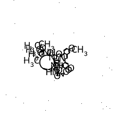 COc1ccc2c(OC3C[C@H]4C(=O)N[C@]5(C(=O)NS(=O)(=O)C6CC6)CC5/C=C\CC[C@@H](C)C[C@@H](C)[C@H](NC(=O)OC(C)(C)C)C(=O)N4C3)nc(-c3ccc4c(c3)OCCO4)cc2c1